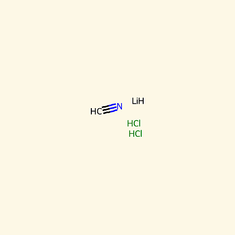 C#N.Cl.Cl.[LiH]